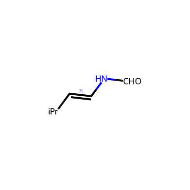 CC(C)/C=C/NC=O